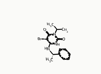 CC(C)n1c(=O)[nH]c(N[C@@H](C)c2ccccc2)c(Br)c1=O